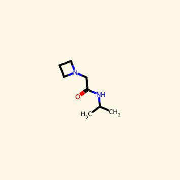 CC(C)NC(=O)CN1CCC1